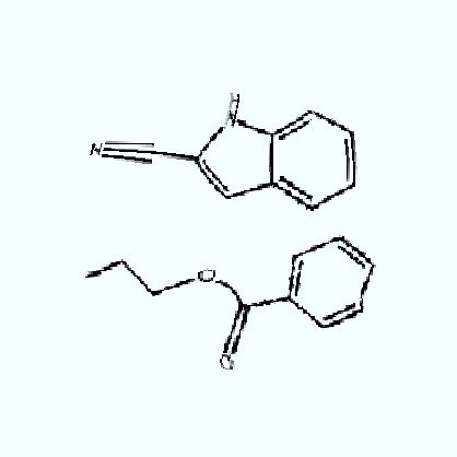 CCCOC(=O)c1ccccc1.N#Cc1cc2ccccc2[nH]1